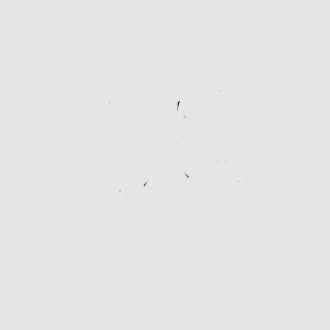 CC(=O)OC[C@H]1O[C@@H](OP(=O)(Oc2ccccc2)Oc2ccccc2)[C@@H](OC(C)=O)[C@H](OCc2ccccc2)[C@@H]1OC(C)=O